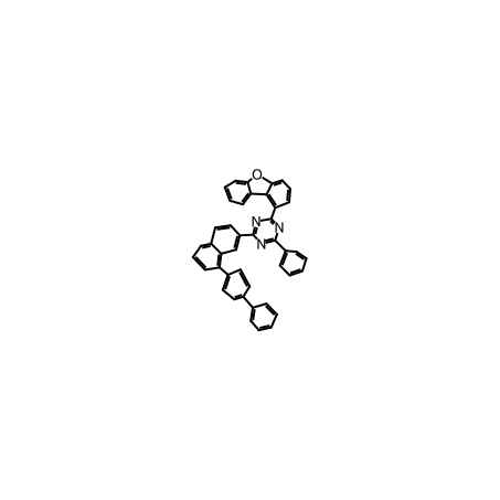 c1ccc(-c2ccc(-c3cccc4ccc(-c5nc(-c6ccccc6)nc(-c6cccc7oc8ccccc8c67)n5)cc34)cc2)cc1